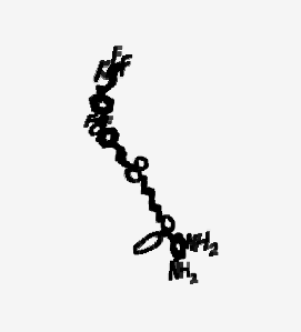 Nc1cc(N)cc(C(=O)OCCCCCCOC(=O)C=Cc2ccc(OC(F)(F)c3ccc(CCC(F)(F)F)cc3)cc2)c1